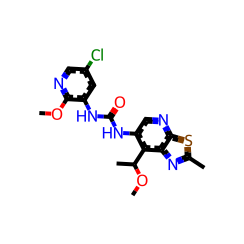 COc1ncc(Cl)cc1NC(=O)Nc1cnc2sc(C)nc2c1C(C)OC